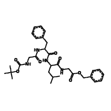 CC(C)CC(NC(=O)C(Cc1ccccc1)NC(=O)CNC(=O)OC(C)(C)C)C(=O)NCC(=O)OCc1ccccc1